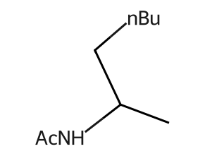 [CH2]C(=O)NC(C)CCCCC